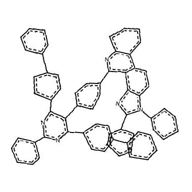 c1ccc(-c2ccc(-c3nc(-c4ccccc4)nc(-c4ccc(-c5ccccc5)cc4)c3-c3ccc(-c4nc5ccccc5c5ccc6c(nc(-c7ccccc7)n6-c6ccccc6)c45)cc3)cc2)cc1